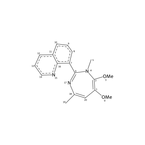 COC1=C(OC)N(C)C(c2cccc3cccnc23)=NC(C)=C1